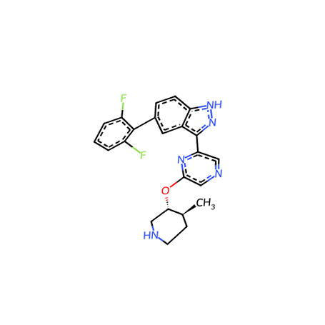 C[C@H]1CCNC[C@@H]1Oc1cncc(-c2n[nH]c3ccc(-c4c(F)cccc4F)cc23)n1